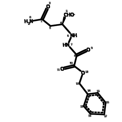 NC(=O)C[C@@H]([C]=O)NNC(=O)C(=O)OCc1ccccc1